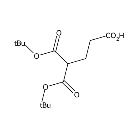 CC(C)(C)OC(=O)C(CCC(=O)O)C(=O)OC(C)(C)C